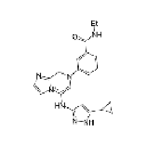 CCNC(=O)c1cccc(N2C=C(Nc3cc(C4CC4)[nH]n3)[N+]3C=CN=C3C2)c1